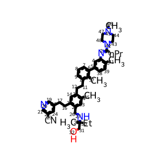 CCC/C(=N\c1cc(-c2cccc(CCc3cc(CCc4cncc(C#N)c4)c(CNC(C)(CC)CO)cc3C)c2C)ccc1C)N1CCN(C)CC1